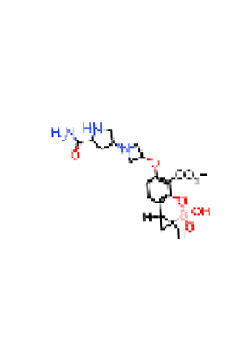 NC(=O)[C@H]1C[C@H](N2CC(Oc3ccc4c(c3C(=O)O)O[B-](O)(O)[C@@H]3C[C@H]43)C2)CN1